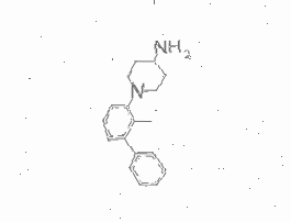 Cc1c(-c2ccccc2)cccc1N1CCC(N)CC1